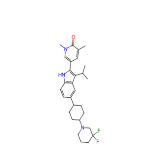 Cc1cc(-c2[nH]c3ccc(C4CCC(N5CCCC(F)(F)C5)CC4)cc3c2C(C)C)cn(C)c1=O